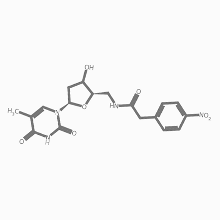 Cc1cn([C@H]2CC(O)[C@@H](CNC(=O)Cc3ccc([N+](=O)[O-])cc3)O2)c(=O)[nH]c1=O